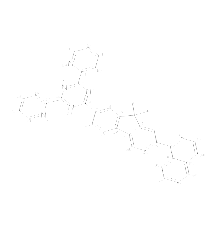 CC1(C)c2cc(-c3nc(-c4ccccn4)nc(-c4ccccn4)n3)ccc2-c2ccc(-c3cccc4ccccc34)cc21